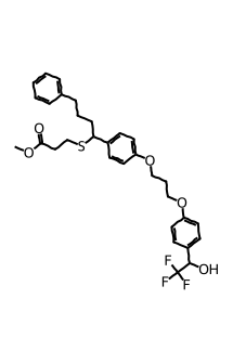 COC(=O)CCSC(CCCc1ccccc1)c1ccc(OCCCOc2ccc(C(O)C(F)(F)F)cc2)cc1